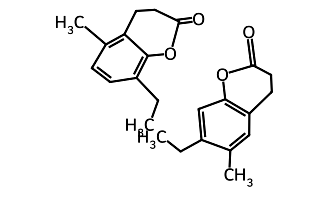 CCc1cc2c(cc1C)CCC(=O)O2.CCc1ccc(C)c2c1OC(=O)CC2